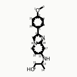 COc1ccc(-c2cn3ccc(NC(C)CO)cc3n2)cc1